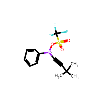 CC(C)(C)C#C[I+](OS(=O)(=O)C(F)(F)F)c1ccccc1